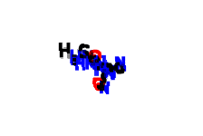 CCNC(=O)Nc1cn2c(CCc3ncco3)nc(-c3cccnc3)cc2n1